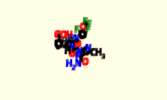 Cc1cc2c(C(N)=O)nn(CC(=O)N3[C@@H]4C[C@@H]4C[C@H]3C(=O)Nc3cccc(OC(F)(F)F)c3F)c2cn1.O=C(O)c1ccccc1